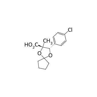 C[C@@]1(C(=O)O)OC2(CCCC2)O[C@H]1c1ccc(Cl)cc1